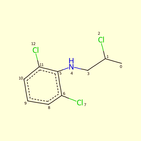 CC(Cl)CNc1c(Cl)cccc1Cl